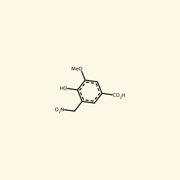 COc1cc(C(=O)O)cc(C[N+](=O)[O-])c1O